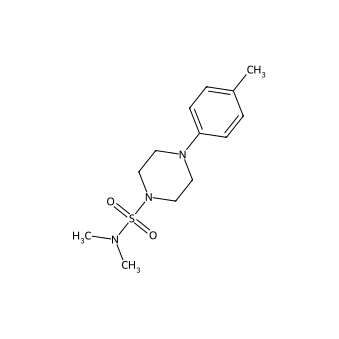 Cc1ccc(N2CCN(S(=O)(=O)N(C)C)CC2)cc1